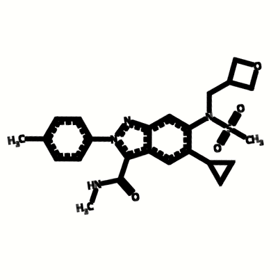 CNC(=O)c1c2cc(C3CC3)c(N(CC3COC3)S(C)(=O)=O)cc2nn1-c1ccc(C)cc1